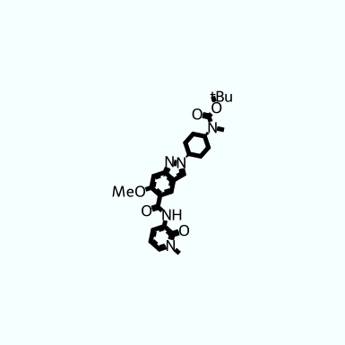 COc1cc2nn([C@H]3CC[C@H](N(C)C(=O)OC(C)(C)C)CC3)cc2cc1C(=O)Nc1cccn(C)c1=O